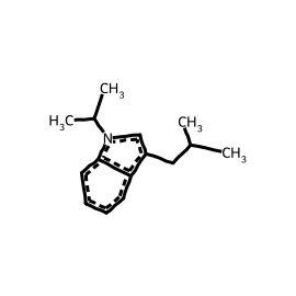 CC(C)Cc1cn(C(C)C)c2ccccc12